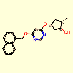 [CH2][C@H]1C[C@@H](Oc2cc(OCc3cccc4ccccc34)ncn2)C[C@@H]1O